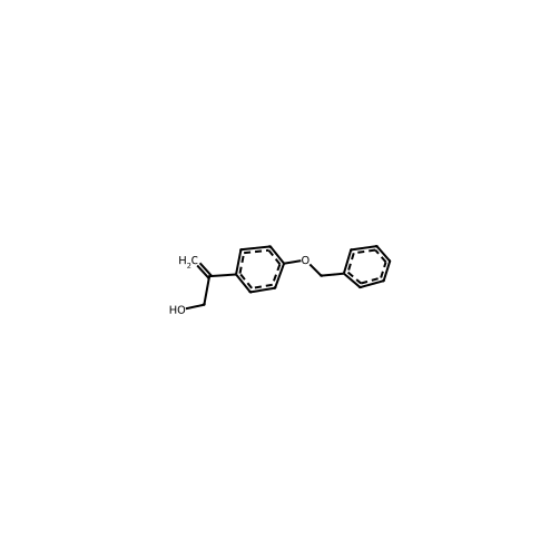 C=C(CO)c1ccc(OCc2ccccc2)cc1